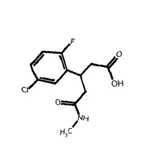 CNC(=O)CC(CC(=O)O)c1cc(Cl)ccc1F